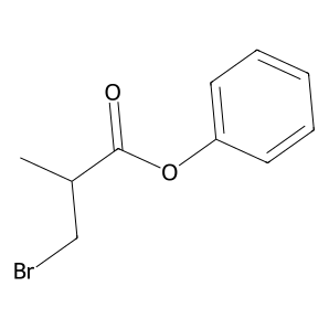 CC(CBr)C(=O)Oc1ccccc1